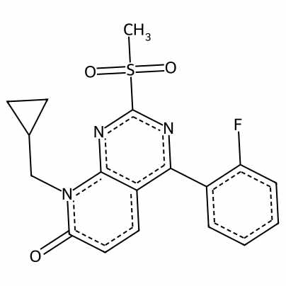 CS(=O)(=O)c1nc(-c2ccccc2F)c2ccc(=O)n(CC3CC3)c2n1